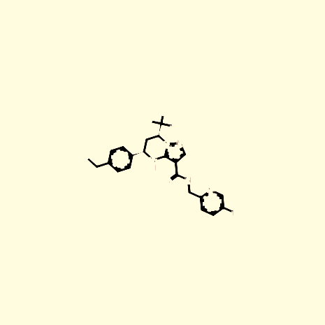 CCc1ccc([C@H]2C[C@@H](C(F)(F)F)n3ncc(C(=O)NCc4ccc(F)cn4)c3N2)cc1